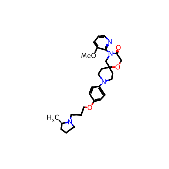 COc1cccnc1N1CC2(CCN(c3ccc(OCCCN4CCC[C@H]4C)cc3)CC2)OCC1=O